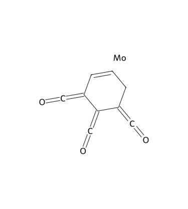 O=C=C1C=CCC(=C=O)C1=C=O.[Mo]